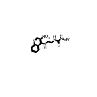 CCCNC(=O)NCCNc1c([N+](=O)[O-])cnc2ccccc12